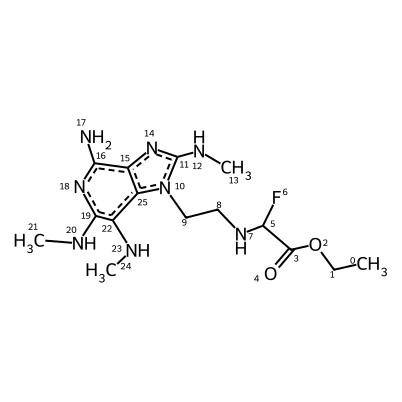 CCOC(=O)C(F)NCCn1c(NC)nc2c(N)nc(NC)c(NC)c21